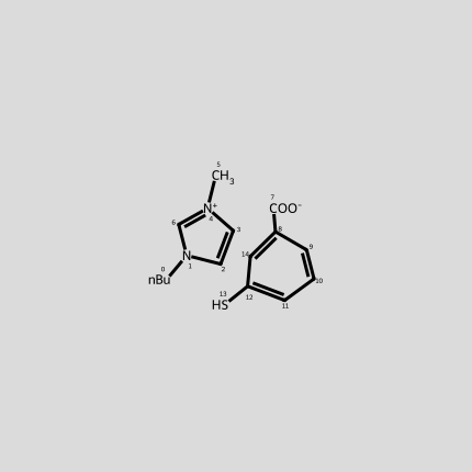 CCCCn1cc[n+](C)c1.O=C([O-])c1cccc(S)c1